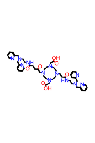 O=C(O)CN1CCN(CCC(=O)NCCN(Cc2ccccn2)Cc2ccccn2)CCN(CC(=O)O)CCN(CC(=O)CCC(=O)NCCN(Cc2ccccn2)Cc2ccccn2)CC1